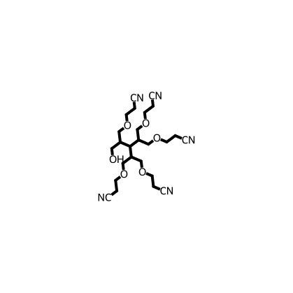 N#CCCOCC(CO)C(C(COCCC#N)COCCC#N)C(COCCC#N)COCCC#N